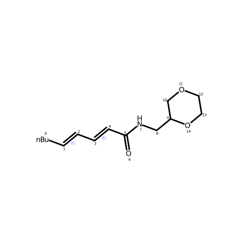 CCCC/C=C/C=C/C(=O)NCC1COCCO1